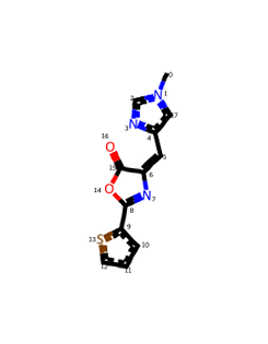 Cn1cnc(C=C2N=C(c3cccs3)OC2=O)c1